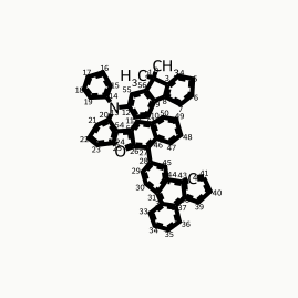 CC1(C)c2ccccc2-c2ccc(N(c3ccccc3)c3cccc4oc5c(-c6ccc7c8ccccc8c8ccccc8c7c6)c6ccccc6cc5c34)cc21